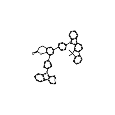 CC1(C)c2ccccc2-c2ccc3c4ccccc4n(-c4ccc(-c5cc6c(c(-c7ccc(-n8c9ccccc9c9ccccc98)cc7)c5)OC(=O)CC6)cc4)c3c21